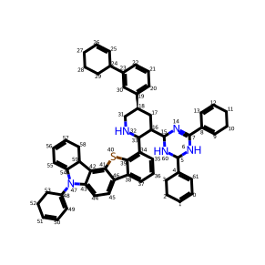 C1=CCCC(C2NC(C3=CCCC=C3)=NC(C3C[C@H](c4cccc(C5C=CCCC5)c4)CNC3c3cccc4c3sc3c5c(ccc34)N(C3=CC=CCC3)C3=CC=CCC35)N2)=C1